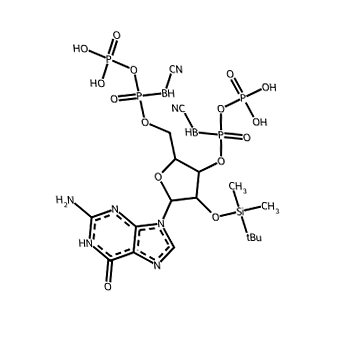 CC(C)(C)[Si](C)(C)OC1C(OP(=O)(BC#N)OP(=O)(O)O)C(COP(=O)(BC#N)OP(=O)(O)O)OC1n1cnc2c(=O)[nH]c(N)nc21